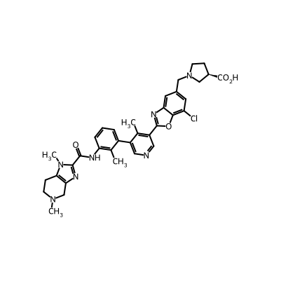 Cc1c(NC(=O)c2nc3c(n2C)CCN(C)C3)cccc1-c1cncc(-c2nc3cc(CN4CC[C@@H](C(=O)O)C4)cc(Cl)c3o2)c1C